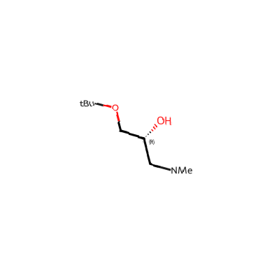 CNC[C@@H](O)COC(C)(C)C